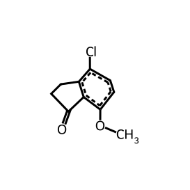 COc1ccc(Cl)c2c1C(=O)CC2